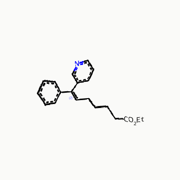 CCOC(=O)CCCC/C=C(/c1ccccc1)c1cccnc1